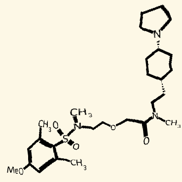 COc1cc(C)c(S(=O)(=O)N(C)CCOCC(=O)N(C)CC[C@H]2CC[C@@H](N3CCCC3)CC2)c(C)c1